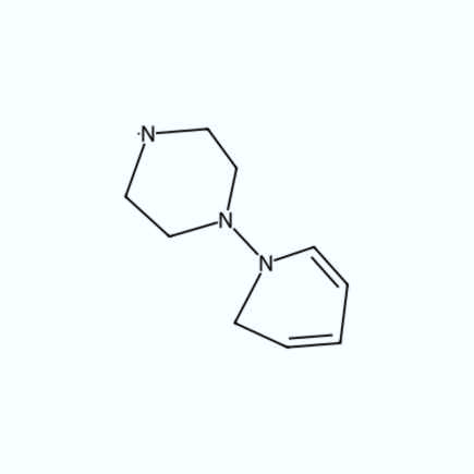 C1=CCN(N2CC[N]CC2)C=C1